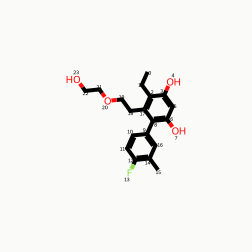 CCc1c(O)cc(O)c(-c2ccc(F)c(C)c2)c1CCOCCO